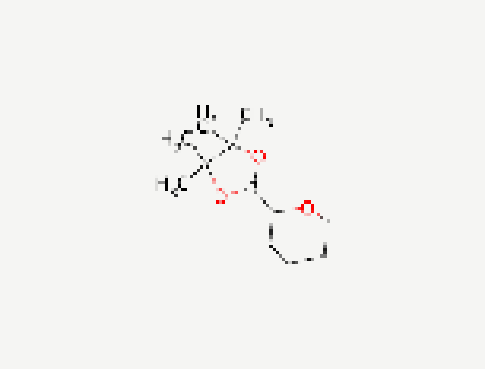 CC1(C)OB(C2CCCCO2)OC1(C)C